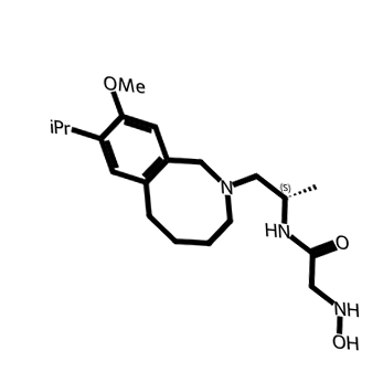 COc1cc2c(cc1C(C)C)CCCCN(C[C@H](C)NC(=O)CNO)C2